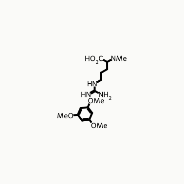 CNC(CCCNC(=N)N)C(=O)O.COc1cc(OC)cc(OC)c1